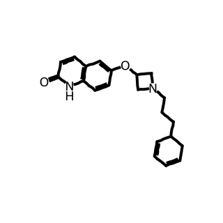 O=c1ccc2cc(OC3CN(CCCC4C=CC=CC4)C3)ccc2[nH]1